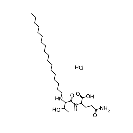 CCCCCCCCCCCCCCCCCCNC(C(=O)NC(CCC(N)=O)C(=O)O)C(C)O.Cl